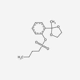 CCCCS(=O)(=O)Oc1ccccc1C1(C)OCCO1